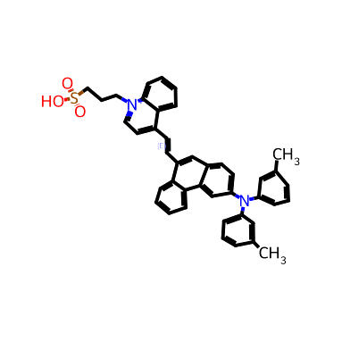 Cc1cccc(N(c2cccc(C)c2)c2ccc3cc(/C=C/c4cc[n+](CCCS(=O)(=O)O)c5ccccc45)c4ccccc4c3c2)c1